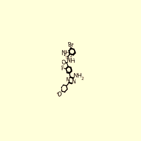 COC1CCC(c2cnc(N)c(-c3ccc(C(=O)N[C@H](CN)c4cccc(Br)c4)c(F)c3)n2)CC1